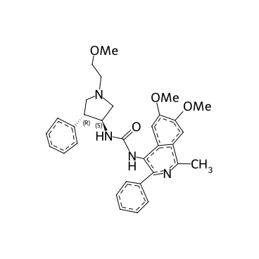 COCCN1C[C@@H](NC(=O)Nc2c(-c3ccccc3)nc(C)c3cc(OC)c(OC)cc23)[C@H](c2ccccc2)C1